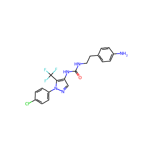 Nc1ccc(CCNC(=O)Nc2cnn(-c3ccc(Cl)cc3)c2C(F)(F)F)cc1